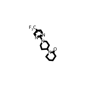 O=C1CCCCN1C1CCN(c2ncc(C(F)(F)F)cn2)CC1